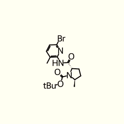 Cc1ccc(Br)nc1NC(=O)[C@@H]1CC[C@@H](C)N1C(=O)OC(C)(C)C